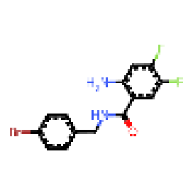 Nc1cc(F)c(F)cc1C(=O)NCc1ccc(Br)cc1